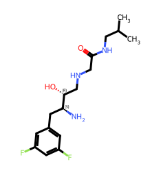 CC(C)CNC(=O)CNC[C@@H](O)[C@@H](N)Cc1cc(F)cc(F)c1